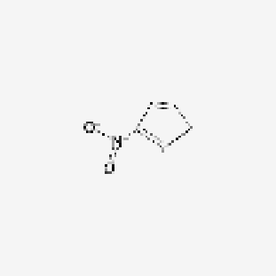 O=[N+]([O-])C1=[C]CC=C1